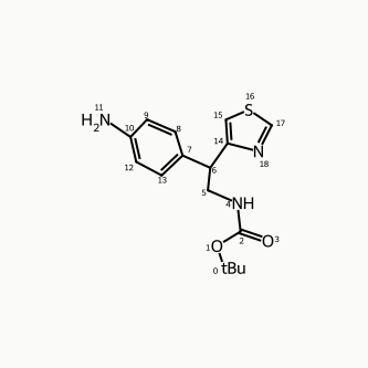 CC(C)(C)OC(=O)NCC(c1ccc(N)cc1)c1cscn1